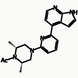 CC(=O)N1[C@H](C)CN(c2cccc(-c3ccnc4[nH]ccc34)n2)C[C@@H]1C